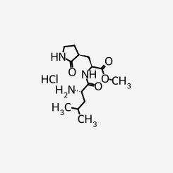 COC(=O)[C@H](C[C@@H]1CCNC1=O)NC(=O)[C@@H](N)CC(C)C.Cl